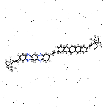 CC(C)C(C#Cc1ccc2cc3cc4cc5cc(C#Cc6ccc7nc8cc9nc%10cc(C#CC(C(C)C)(C(C)C)C(C)C)ccc%10nc9cc8nc7c6)ccc5cc4cc3cc2c1)(C(C)C)C(C)C